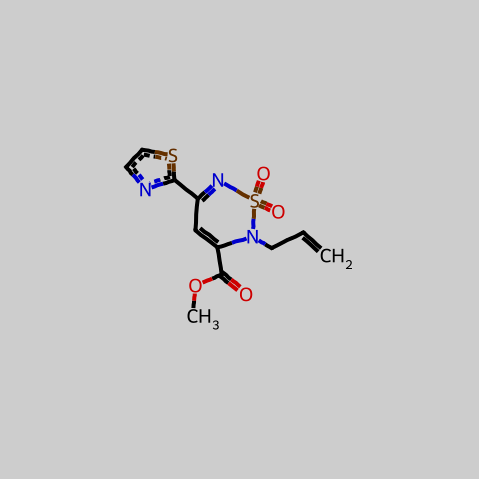 C=CCN1C(C(=O)OC)=CC(c2nccs2)=NS1(=O)=O